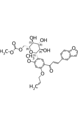 C=CCOc1cc(OC)c([C@@H]2O[C@H](COC(=O)OC)[C@@H](O)[C@H](O)[C@H]2O)cc1C(=O)C=Cc1ccc2occc2c1